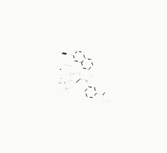 CNC(=O)c1cccc([C@H](Nc2cc(Cl)c3ncc(C#N)c(NCC(C)(C)C)c3c2)C2=CN(C3(C(F)(F)F)CC3)NN2)c1F